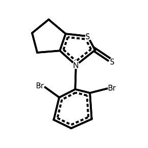 S=c1sc2c(n1-c1c(Br)cccc1Br)CCC2